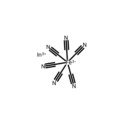 N#[C][Fe-3]([C]#N)([C]#N)([C]#N)([C]#N)[C]#N.[In+3]